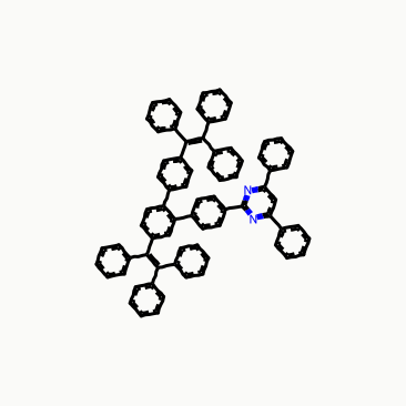 c1ccc(C(=C(c2ccccc2)c2ccc(-c3ccc(C(=C(c4ccccc4)c4ccccc4)c4ccccc4)cc3-c3ccc(-c4nc(-c5ccccc5)cc(-c5ccccc5)n4)cc3)cc2)c2ccccc2)cc1